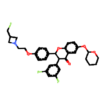 O=C1c2cc(OC3CCCCO3)ccc2OC(c2ccc(OCCN3CC(CF)C3)cc2)C1c1cc(F)cc(F)c1